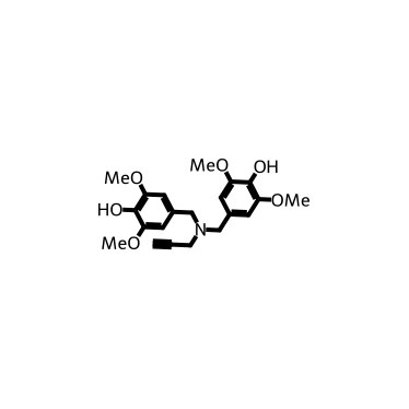 C#CCN(Cc1cc(OC)c(O)c(OC)c1)Cc1cc(OC)c(O)c(OC)c1